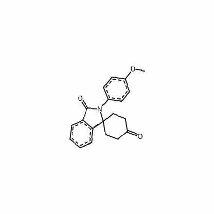 COc1ccc(N2C(=O)c3ccccc3C23CCC(=O)CC3)cc1